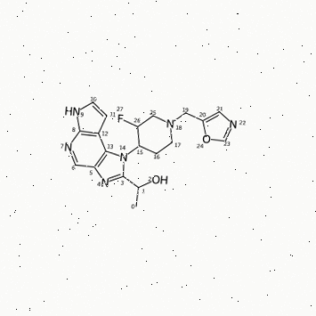 CC(O)c1nc2cnc3[nH]ccc3c2n1C1CCN(Cc2cnco2)CC1F